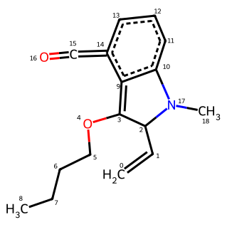 C=CC1C(OCCCC)=c2c(cccc2=C=O)N1C